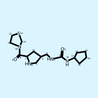 O=C(NCC1CNC(C(=O)N2CCSC2)C1)NC1CCCC1